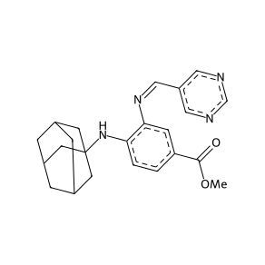 COC(=O)c1ccc(NC23CC4CC(CC(C4)C2)C3)c(/N=C\c2cncnc2)c1